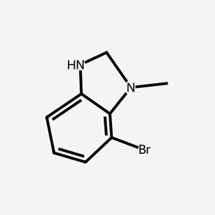 CN1CNc2cccc(Br)c21